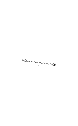 OCCCCCCCCPCCCCCCCCO